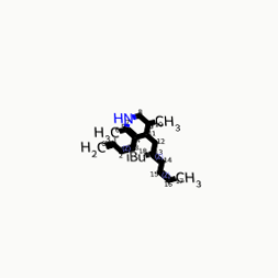 C=C/C=C\C1=C(C)NCC(C)C1C/C(=C/C=C\C)C(C)CC